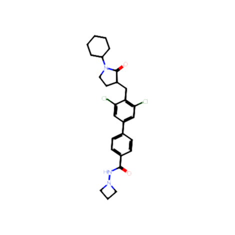 O=C(NN1CCC1)c1ccc(-c2cc(Cl)c(CC3CCN(C4CCCCC4)C3=O)c(Cl)c2)cc1